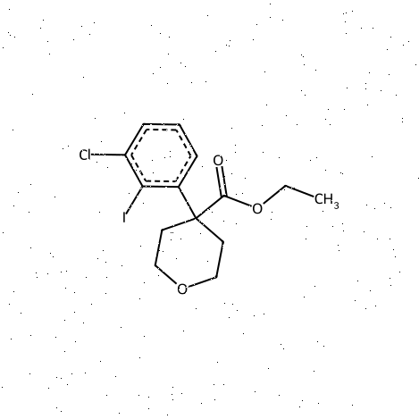 CCOC(=O)C1(c2cccc(Cl)c2I)CCOCC1